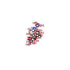 COC(=O)C1CC(NC(=O)c2cc(O)nc(O)n2)C(OC2OC(C)C(O)C(O)C2O)C(OC2OC(CO)C(O)C(OC3(C(=O)O)CC(O)C(NC(C)=O)C([C@H](O)[C@H](O)CO)O3)C2OC(=O)c2ccccc2)C1